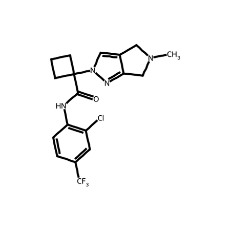 CN1Cc2cn(C3(C(=O)Nc4ccc(C(F)(F)F)cc4Cl)CCC3)nc2C1